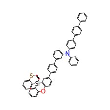 c1ccc(-c2ccc(-c3ccc(N(c4ccccc4)c4cccc(-c5ccc(-c6ccc7c(c6)[Si]6(c8ccccc8O7)c7ccccc7Sc7ccccc76)cc5)c4)cc3)cc2)cc1